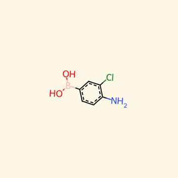 Nc1ccc(B(O)O)cc1Cl